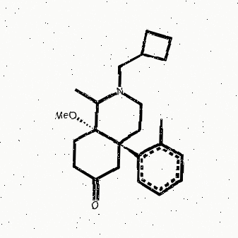 CO[C@@]12CCC(=O)C[C@@]1(c1ccccc1C)CCN(CC1CCC1)C2C